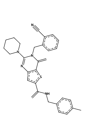 C=C(NCc1ccc(C)cc1)c1cc2c(s1)C(=C)N(Cc1ccccc1C#N)C(N1CCCCC1)=N2